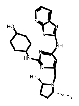 C[C@@H]1CC[C@@H](C)N1Cc1cc(Nc2nc3cccnc3s2)nc(NC2CCC(O)CC2)n1